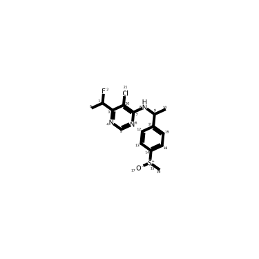 CC(F)c1ncnc(NC(C)c2ccc([S+](C)[O-])cc2)c1Cl